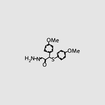 COc1ccc(SC(C(=O)C=NN)c2ccc(OC)cc2)cc1